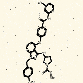 CCCc1ccnc(NC(=O)c2ccc(Oc3ccnc4c3c(NC3CCN(C(=O)OC(C)(C)C)C3)nn4Cc3ccc(OC)cc3)cc2)c1